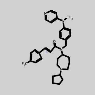 CN(c1ccncc1)c1ccc(CN(C(=O)/C=C/c2ccc(C(F)(F)F)cc2)C2CCCN(C3CCCC3)CC2)cc1